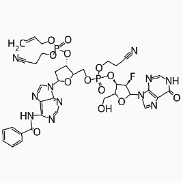 C=CCOP(=O)(OCCC#N)O[C@H]1CC(n2cnc3c(NC(=O)c4ccccc4)ncnc32)OC1COP(=O)(OCCC#N)O[C@@H]1C(CO)OC(n2cnc3c(=O)[nH]cnc32)[C@@H]1F